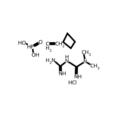 C1CCC1.C=C.CN(C)C(=N)NC(=N)N.Cl.O=[PH](O)O